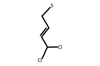 [S]C/C=C/C(Cl)Cl